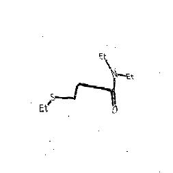 CCSCCC(=O)N(CC)CC